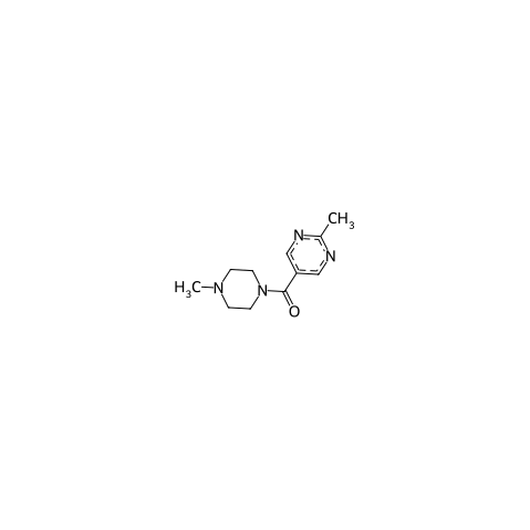 Cc1ncc(C(=O)N2CCN(C)CC2)cn1